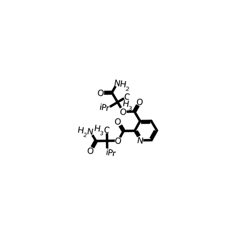 CC(C)C(C)(OC(=O)c1cccnc1C(=O)OC(C)(C(N)=O)C(C)C)C(N)=O